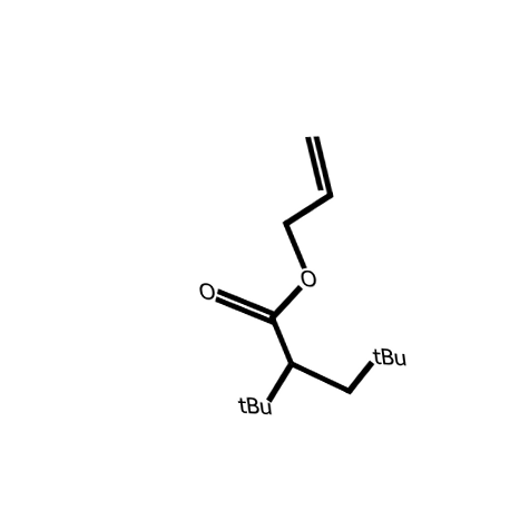 C=CCOC(=O)C(CC(C)(C)C)C(C)(C)C